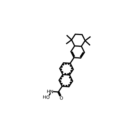 CC1(C)CCC(C)(C)C2C=C(c3ccc4cc(C(=O)NO)ccc4c3)C=CC21